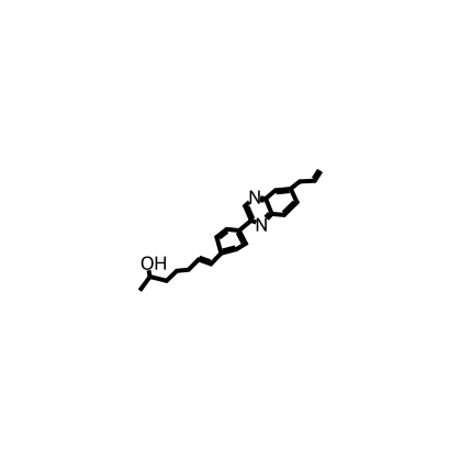 C=CCc1ccc2nc(-c3ccc(/C=C/CCCC(C)O)cc3)cnc2c1